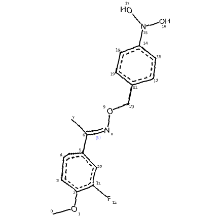 COc1ccc(/C(C)=N/OCc2ccc(N(O)O)cc2)cc1F